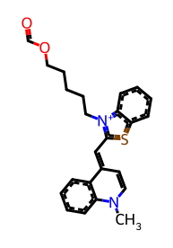 CN1C=CC(=Cc2sc3ccccc3[n+]2CCCCCOC=O)c2ccccc21